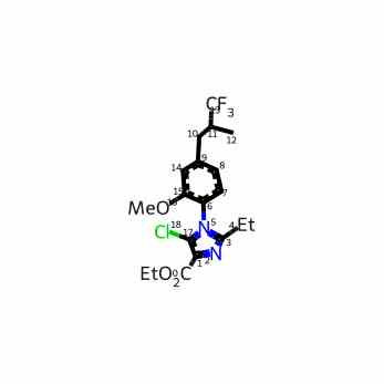 CCOC(=O)c1nc(CC)n(-c2ccc(CC(C)C(F)(F)F)cc2OC)c1Cl